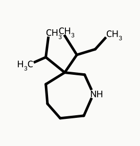 CCC(C)C1(C(C)C)CCCCNC1